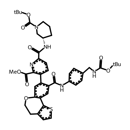 COC(=O)c1nc(C(=O)N[C@H]2CCCN(C(=O)OC(C)(C)C)C2)ccc1-c1cc2c(cc1C(=O)Nc1ccc(CNC(=O)OC(C)(C)C)cc1)-c1sccc1CCO2